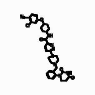 N#Cc1ccc(OC2CCC(NC(=O)c3ccc(N4CCN(Cc5ccccc5N5CCC(=O)NC5=O)CC4)nn3)CC2)cc1Cl